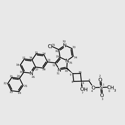 CS(=O)(=O)OC[C@]1(O)C[C@@H](c2nc(-c3ccc4ccc(-c5ccccc5)nc4c3)c3c(Cl)nccn32)C1